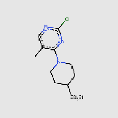 CCOC(=O)C1CCN(c2nc(Cl)ncc2C)CC1